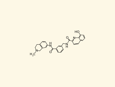 CN1CCc2ccc(NC(=O)c3cccc(CNC(=O)c4ccc5cccc(O)c5n4)c3)cc2C1